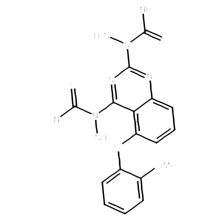 COc1ccccc1Oc1cccc2nc(N(N)C(N)=O)nc(N(N)C(N)=O)c12